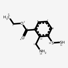 CCOC(=O)c1cccc(SS)c1CN